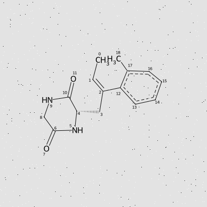 C/C=C(/C[C@@H]1NC(=O)CNC1=O)c1ccccc1C